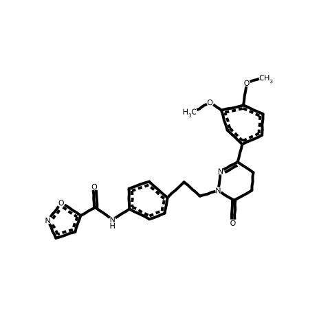 COc1ccc(C2=NN(CCc3ccc(NC(=O)c4ccno4)cc3)C(=O)CC2)cc1OC